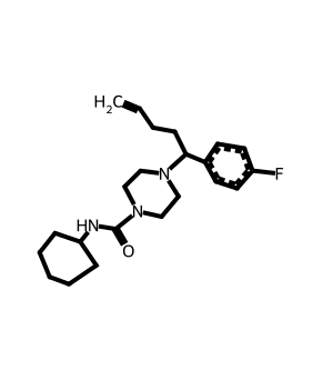 C=CCCC(c1ccc(F)cc1)N1CCN(C(=O)NC2CCCCC2)CC1